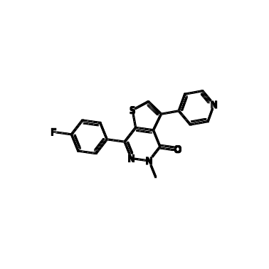 Cn1nc(-c2ccc(F)cc2)c2scc(-c3ccncc3)c2c1=O